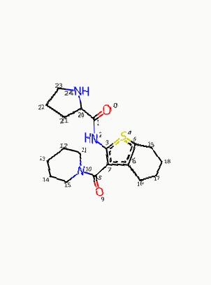 O=C(Nc1sc2c(c1C(=O)N1CCCCC1)CCCC2)C1CCCN1